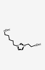 CCCCCCCCCCCCCCC[n+]1ccn(CCCCCCCCCCCC)c1